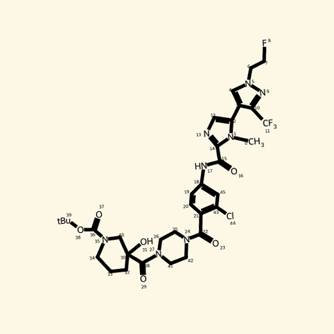 Cn1c(-c2cn(CCF)nc2C(F)(F)F)cnc1C(=O)Nc1ccc(C(=O)N2CCN(C(=O)C3(O)CCCN(C(=O)OC(C)(C)C)C3)CC2)c(Cl)c1